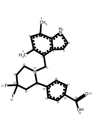 Cc1cc(C)c2[nH]ccc2c1CN1CCC(F)(F)CC1c1ccc(C(=O)O)cc1